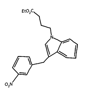 CCOC(=O)CCCn1cc(Cc2cccc([N+](=O)[O-])c2)c2ccccc21